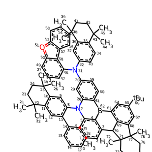 Cc1cc2c3c(c1)N(c1cc4c(cc1-c1ccccc1)C(C)(C)CCC4(C)C)c1cc(N(c4ccc5c(c4)C(C)(C)CCC5(C)C)c4cccc5oc6ccccc6c45)ccc1B3c1cc(C(C)(C)C)cc3c1C2C1(C)CCCCC31C